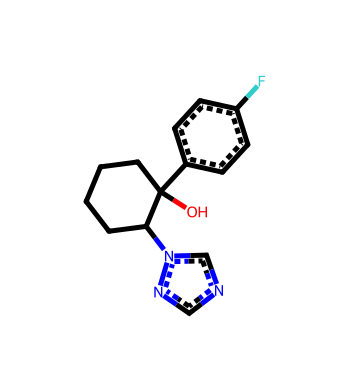 OC1(c2ccc(F)cc2)CCCCC1n1cncn1